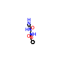 O=C(NCCNC(=O)[C@H]1CCNC1)OCc1ccccc1